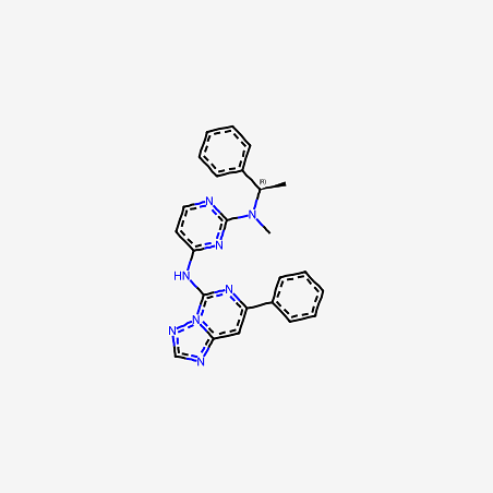 C[C@H](c1ccccc1)N(C)c1nccc(Nc2nc(-c3ccccc3)cc3ncnn23)n1